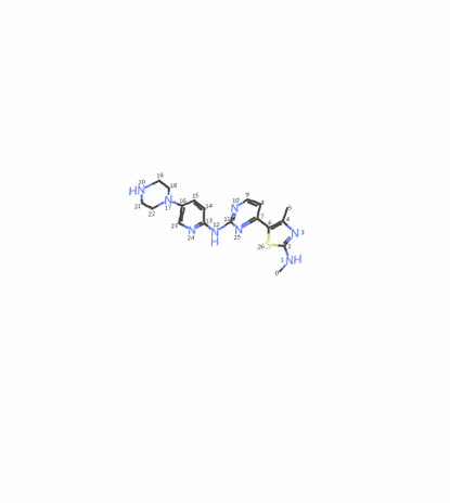 CNc1nc(C)c(-c2ccnc(Nc3ccc(N4CCNCC4)cn3)n2)s1